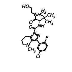 CN1CCCc2c1c(-c1cc(Cl)ccc1F)nn2C(=O)N[C@H](C(=O)NCCO)C(C)(C)C